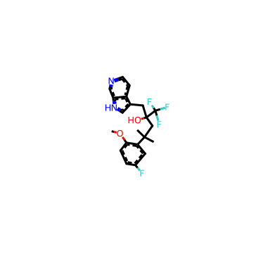 COc1ccc(F)cc1C(C)(C)CC(O)(Cc1c[nH]c2cnccc12)C(F)(F)F